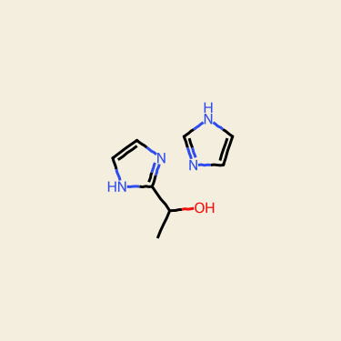 CC(O)c1ncc[nH]1.c1c[nH]cn1